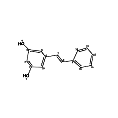 Oc1cc(O)cc(/C=C/c2cc[c]cc2)c1